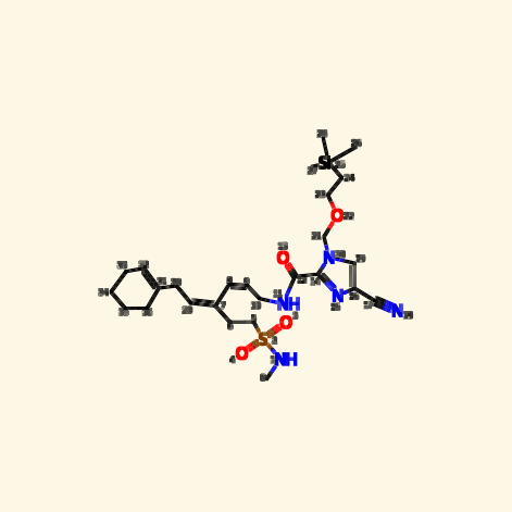 CNS(=O)(=O)CCC(/C=C\CNC(=O)c1nc(C#N)cn1COCC[Si](C)(C)C)=C/CC1=CCCCC1